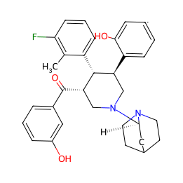 Cc1c(F)cccc1[C@H]1[C@@H](C(=O)c2cccc(O)c2)CN([C@@H]2CC3CCN2CC3)C[C@@H]1c1cc[c]cc1O